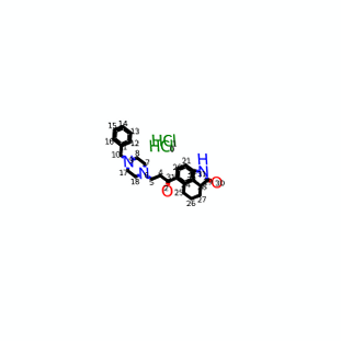 Cl.Cl.O=C(CCN1CCN(Cc2ccccc2)CC1)c1ccc2c3c1CCCC3C(=O)N2